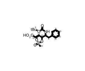 CC(C)(C)OC(=O)NC(Cc1ccccc1)C(C=CC(=O)O)OS(C)(=O)=O